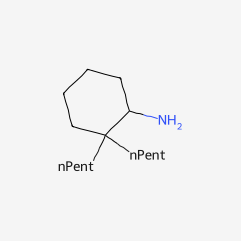 CCCCCC1(CCCCC)CCCCC1N